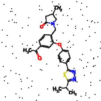 CC(=O)c1ccc(CN2CC(C)CC2=O)c(Oc2ccc(-c3nnc(C(C)C)s3)cc2)c1